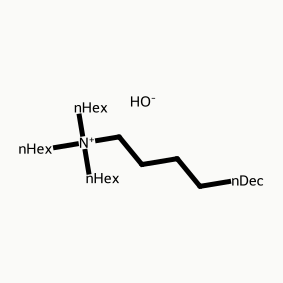 CCCCCCCCCCCCCC[N+](CCCCCC)(CCCCCC)CCCCCC.[OH-]